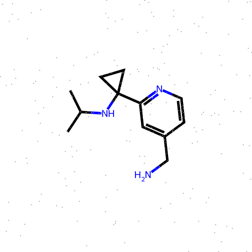 CC(C)NC1(c2cc(CN)ccn2)CC1